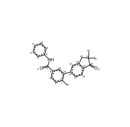 Cc1ccc(C(=O)Nc2ccccc2)cc1-c1ccc2c(c1)CC(C)(C)C2=O